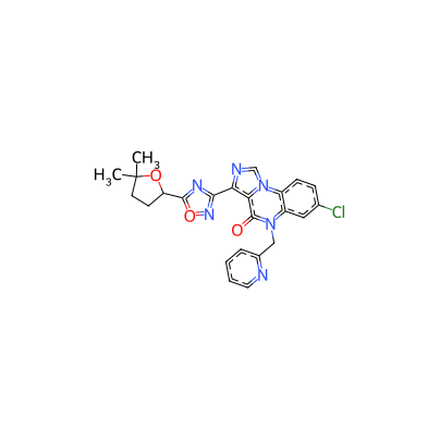 CC1(C)CCC(c2nc(-c3ncn4c3c(=O)n(Cc3ccccn3)c3cc(Cl)ccc34)no2)O1